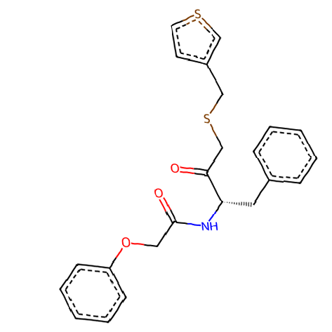 O=C(COc1ccccc1)N[C@@H](Cc1ccccc1)C(=O)CSCc1ccsc1